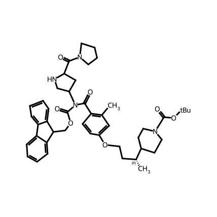 Cc1cc(OCC[C@@H](C)C2CCN(C(=O)OC(C)(C)C)CC2)ccc1C(=O)N(C(=O)OCC1c2ccccc2-c2ccccc21)C1CNC(C(=O)N2CCCC2)C1